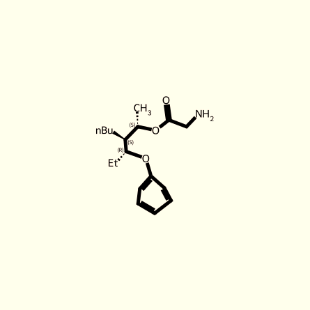 CCCC[C@@H]([C@H](C)OC(=O)CN)[C@@H](CC)Oc1ccccc1